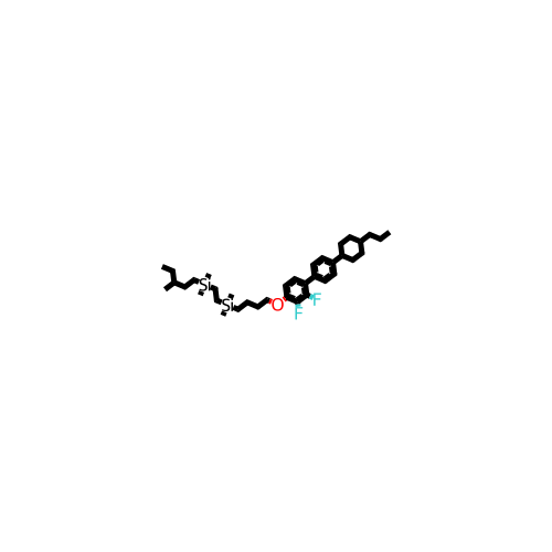 CCCC1CCC(c2ccc(-c3ccc(OCCCC[Si](C)(C)CC[Si](C)(C)CCC(C)CC)c(F)c3F)cc2)CC1